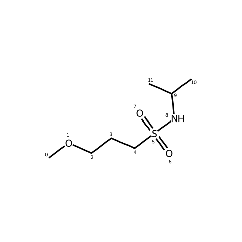 COCCCS(=O)(=O)NC(C)C